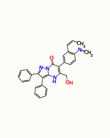 C=Nc1ccc(-c2c(CO)[nH]c3c(-c4ccccc4)c(-c4ccccc4)nn3c2=O)cc1/C=C\C